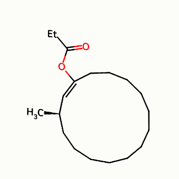 CCC(=O)OC1=C[C@H](C)CCCCCCCCCCCC1